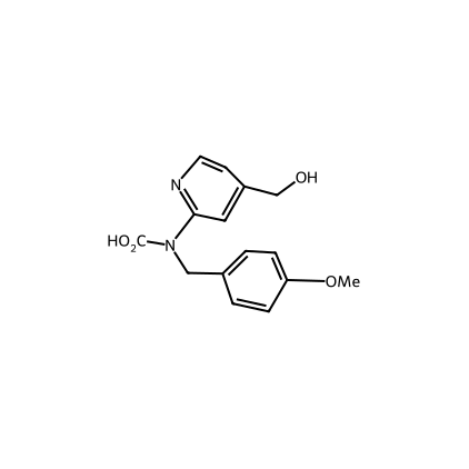 COc1ccc(CN(C(=O)O)c2cc(CO)ccn2)cc1